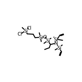 C=C[Si](C)(C)N(C(CC)[Si](C)(C)O[Si](C)(C)CCC[Si](C)(Cl)Cl)[Si](C)(C)C=C